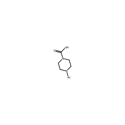 [CH2]CCC(=O)N1CCN(C(C)=O)CC1